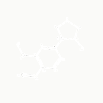 COc1cc(N2CCCC2C)ccc1C=O